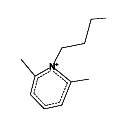 CCCC[n+]1c(C)cccc1C